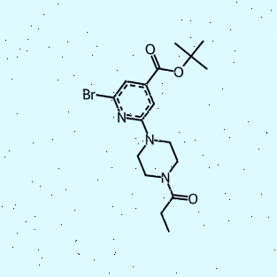 CCC(=O)N1CCN(c2cc(C(=O)OC(C)(C)C)cc(Br)n2)CC1